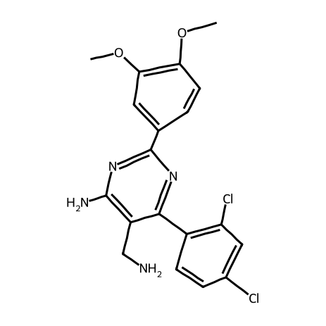 COc1ccc(-c2nc(N)c(CN)c(-c3ccc(Cl)cc3Cl)n2)cc1OC